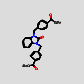 COC(=O)c1ccc(Cn2c(=O)n(Cc3ccc(C(=O)OC)cc3)c3ccccc32)cc1